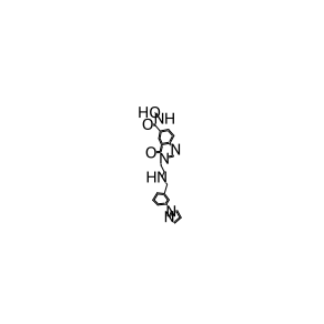 O=C(NO)c1ccc2ncn(CCNCc3cccc(-n4cccn4)c3)c(=O)c2c1